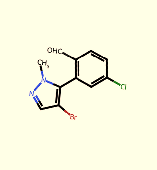 Cn1ncc(Br)c1-c1cc(Cl)ccc1C=O